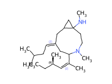 CC[C@@H](C)/C=C(/C)C1C/C(=C\CC(C)C)CC2CC2(NC)CCN1C